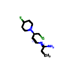 CC/C(N)=N\C=C/C(CCl)N1CCC(F)CC1